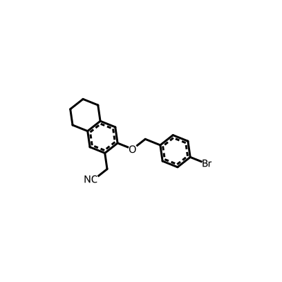 N#CCc1cc2c(cc1OCc1ccc(Br)cc1)CCCC2